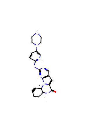 CN1CCN(c2ccc(Nc3ncc4cc5n(c4n3)[C@H]3C#CCC[C@@H]3NC5=O)nc2)CC1